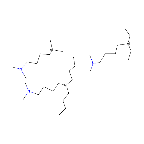 CCC[CH2][Al]([CH2]CCC)[CH2]CCCN(C)C.CN(C)CCC[CH2][Al]([CH3])[CH3].C[CH2][Al]([CH2]C)[CH2]CCCN(C)C